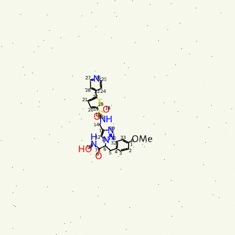 COc1ccc(CC(C(=O)NO)n2cc(CNS(=O)(=O)c3ccc(-c4ccncc4)s3)nn2)cc1